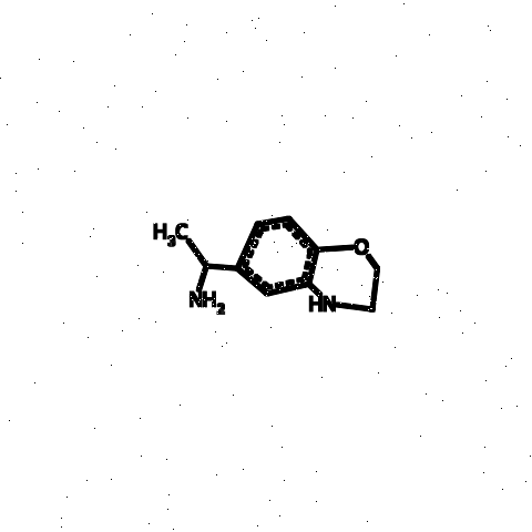 CC(N)c1ccc2c(c1)NCCO2